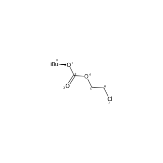 CC[C@H](C)OC(=O)OCCCl